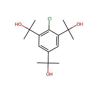 CC(C)(O)c1cc(C(C)(C)O)c(Cl)c(C(C)(C)O)c1